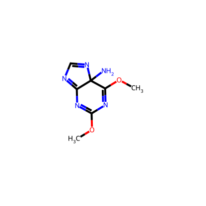 COC1=NC2=NC=NC2(N)C(OC)=N1